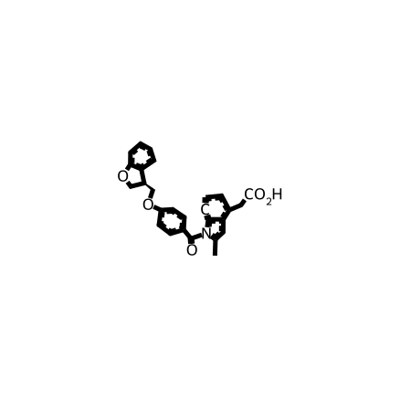 Cc1cc2c(CC(=O)O)cccc2n1C(=O)c1ccc(OC[C@H]2COc3ccccc32)cc1